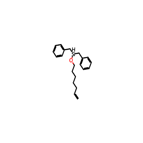 C=CCCCCCO[SiH](Cc1ccccc1)Cc1ccccc1